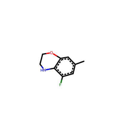 Cc1cc(F)c2c(c1)OCCN2